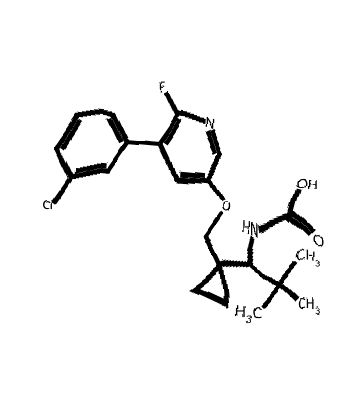 CC(C)(C)C(NC(=O)O)C1(COc2cnc(F)c(-c3cccc(Cl)c3)c2)CC1